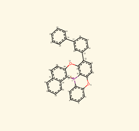 S=P12c3ccccc3Oc3ccc(-c4cccc(-c5ccccc5)c4)c(c31)Oc1ccc3ccccc3c12